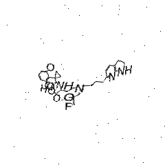 COc1cccc(Cl)c1C1(C(=O)N[C@@H](CCN(CCCCc2ccc3c(n2)NCCC3)C[C@@H](CF)OC)C(=O)O)CC1